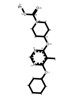 Cc1c(OC2CCCCC2)ncnc1OC1CCN(C(=O)OC(C)C)CC1